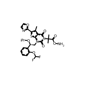 Cc1c(-c2ncco2)sc2c1c(=O)n(C(C)(C)C(=O)ON)c(=O)n2C[C@H](OC(C)C)c1ccccc1OC(F)F